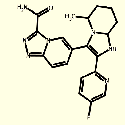 CC1CCCC2NC(c3ccc(F)cn3)=C(c3ccc4nnc(C(N)=O)n4c3)N12